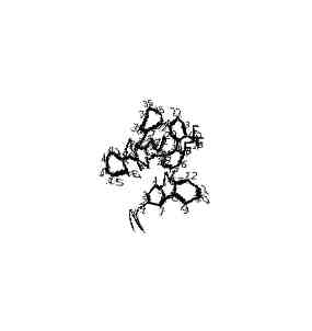 N#Cc1ccc2c(c1)c1ccccc1n2-c1ccc(-c2ccccc2C(F)(F)F)c(-c2nc(-c3ccccc3)nc(-c3ccccc3)n2)c1